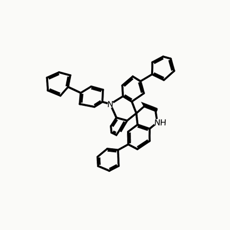 C1=CC2Nc3ccc(-c4ccccc4)cc3C3(c4ccccc4N(c4ccc(-c5ccccc5)cc4)c4ccc(-c5ccccc5)cc43)C2C=C1